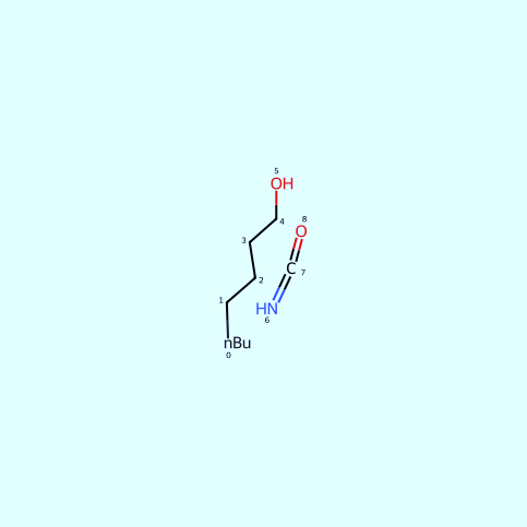 CCCCCCCCO.N=C=O